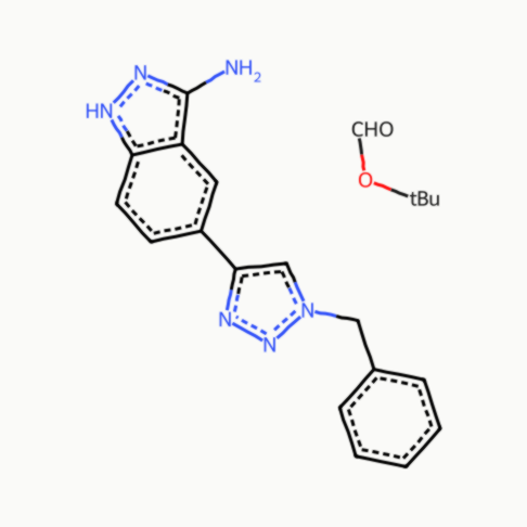 CC(C)(C)OC=O.Nc1n[nH]c2ccc(-c3cn(Cc4ccccc4)nn3)cc12